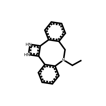 CCN1Cc2ccccc2-c2[nH][nH]c2-c2ccccc21